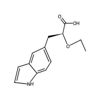 CCO[C@@H](Cc1ccc2[nH]ccc2c1)C(=O)O